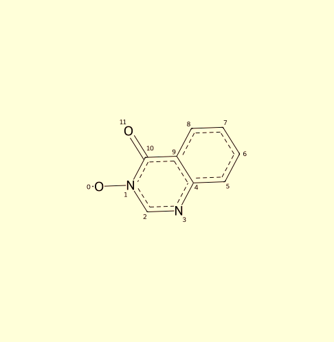 [O]n1cnc2ccccc2c1=O